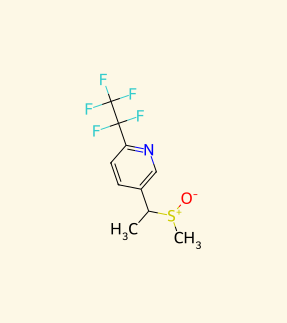 CC(c1ccc(C(F)(F)C(F)(F)F)nc1)[S+](C)[O-]